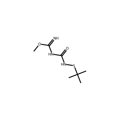 COC(=N)NC(=O)NSC(C)(C)C